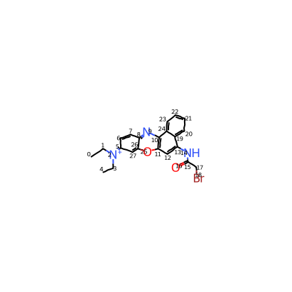 CC[N+](CC)=c1ccc2nc3c(cc(NC(=O)CBr)c4ccccc43)oc-2c1